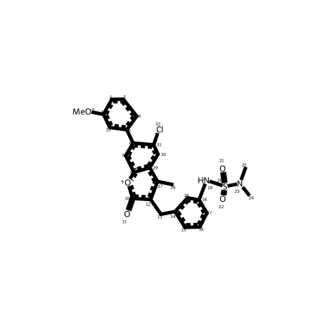 COc1cccc(-c2cc3oc(=O)c(Cc4cccc(NS(=O)(=O)N(C)C)c4)c(C)c3cc2Cl)c1